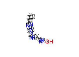 OCCn1cc(-c2ccc3c(N4CCN(c5ncc(Cc6ccccc6)cn5)CC4)cnn3c2)cn1